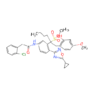 CCCCC(Cc1ccc(OC)cc1OC)(c1cc(NC(=O)Cc2ccccc2Cl)ccc1-c1noc(C2CC2)n1)S(=O)(=O)O